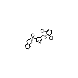 O=C(c1cncc(CSc2c(Cl)cccc2Cl)c1)N1CCc2ccccc2C1